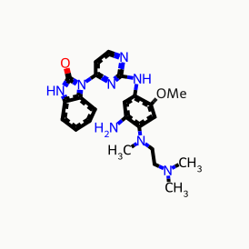 COc1cc(N(C)CCN(C)C)c(N)cc1Nc1nccc(-n2c(=O)[nH]c3ccccc32)n1